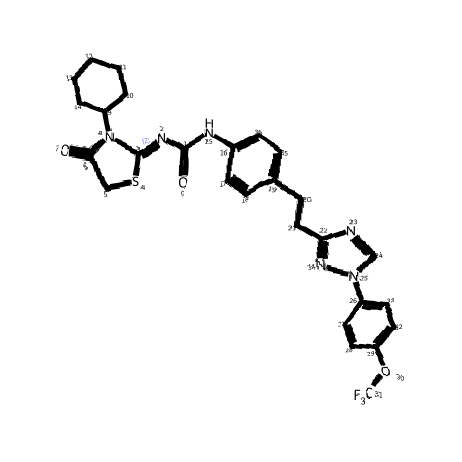 O=C(/N=C1\SCC(=O)N1C1CCCCC1)Nc1ccc(CCc2ncn(-c3ccc(OC(F)(F)F)cc3)n2)cc1